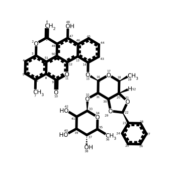 C=C1Oc2ccc(C)c3c(=O)oc4c5c(O[C@H]6O[C@@H](C)[C@@H]7O[C@@H](c8ccccc8)OC7C6O[C@H]6OC(C)[C@H](O)C(O)C6O)cccc5c(O)c1c4c23